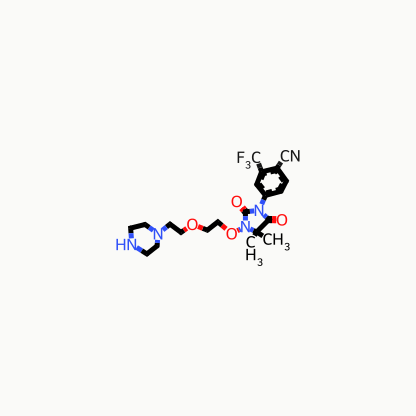 CC1(C)C(=O)N(c2ccc(C#N)c(C(F)(F)F)c2)C(=O)N1OCCOCCN1CCNCC1